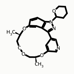 C[C@@H]1CCOC[C@H](C)Oc2cncc(c2)-c2nn(C3CCCCO3)c3ccc(cc23)O1